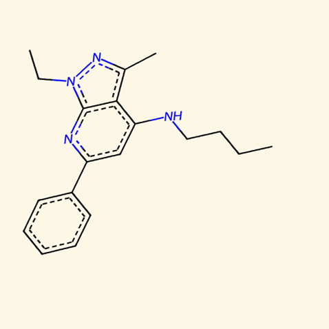 CCCCNc1cc(-c2ccccc2)nc2c1c(C)nn2CC